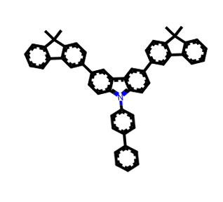 CC1(C)c2ccccc2-c2cc(-c3ccc4c(c3)c3cc(-c5ccc6c(c5)-c5ccccc5C6(C)C)ccc3n4-c3ccc(-c4ccccc4)cc3)ccc21